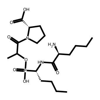 CCCC[C@H](N)C(=O)N[C@H](CCCC)P(=O)(O)OC(C)C(=O)N1CCC[C@H]1C(=O)O